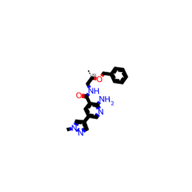 C[C@@H](CNC(=O)c1cc(-c2cnn(C)c2)cnc1N)OCc1ccccc1